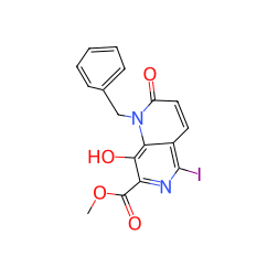 COC(=O)c1nc(I)c2ccc(=O)n(Cc3ccccc3)c2c1O